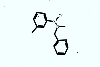 Cc1cccc([S+]([O-])N(C)Cc2ccccc2)c1